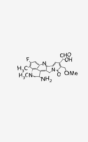 COCc1c(C(O)C=O)cc2n(c1=O)Cc1c-2nc2cc(F)c(C)c3c2c1C(N)CN3C